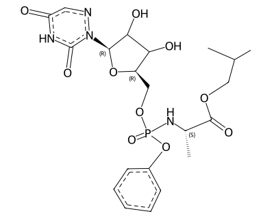 CC(C)COC(=O)[C@H](C)NP(=O)(OC[C@H]1O[C@@H](n2ncc(=O)[nH]c2=O)C(O)C1O)Oc1ccccc1